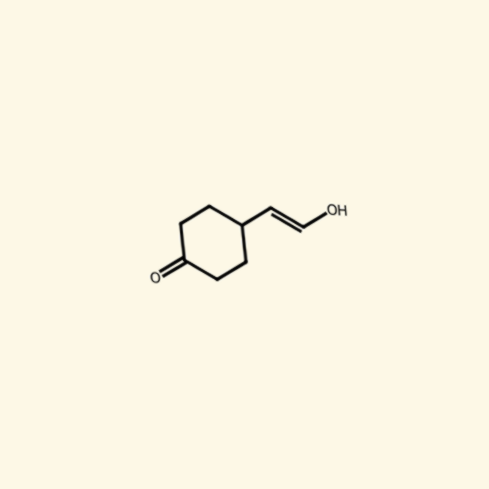 O=C1CCC(C=CO)CC1